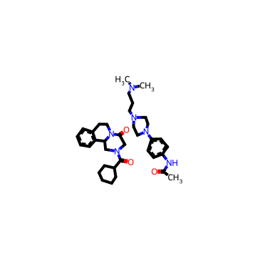 CC(=O)Nc1ccc(N2CCN(CCCN(C)C)CC2)cc1.O=C(C1CCCCC1)N1CC(=O)N2CCc3ccccc3C2C1